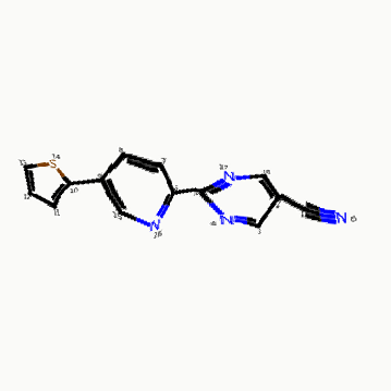 N#Cc1cnc(-c2ccc(-c3cccs3)cn2)nc1